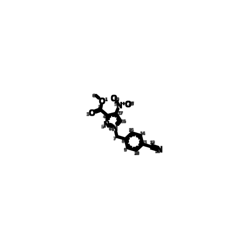 COC(=O)c1nn(Cc2ccc(C#N)cc2)cc1[N+](=O)[O-]